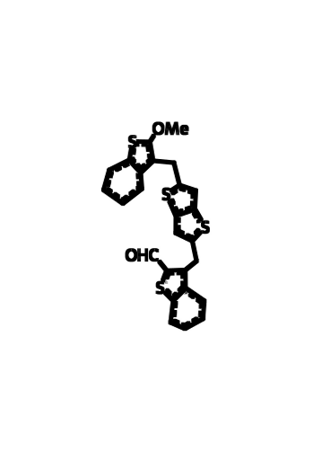 COc1sc2ccccc2c1Cc1cc2sc(Cc3c(C=O)sc4ccccc34)cc2s1